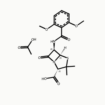 CC(=O)O.COc1cccc(OC)c1C(=O)N[C@@H]1C(=O)N2[C@@H]1SC(C)(C)[C@@H]2C(=O)O